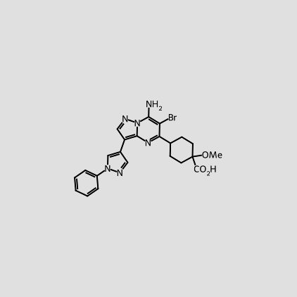 COC1(C(=O)O)CCC(c2nc3c(-c4cnn(-c5ccccc5)c4)cnn3c(N)c2Br)CC1